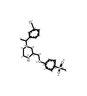 CC(c1cccc(Cl)c1)N1CCNC(COc2ccc(S(C)(=O)=O)cc2)C1